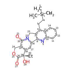 [CH2][Si](C)(C)CCc1c2c(nc3ccccc13)-c1cc3c(c(=O)n1C2)COC(=O)[C@]3(O)CC